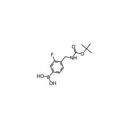 CC(C)(C)OC(=O)NCc1ccc(B(O)O)cc1F